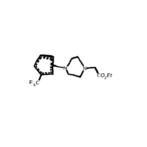 CCOC(=O)CN1CCN(c2cccc(C(F)(F)F)c2)CC1